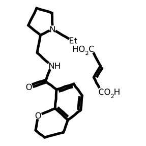 CCN1CCCC1CNC(=O)c1cccc2c1OCCC2.O=C(O)C=CC(=O)O